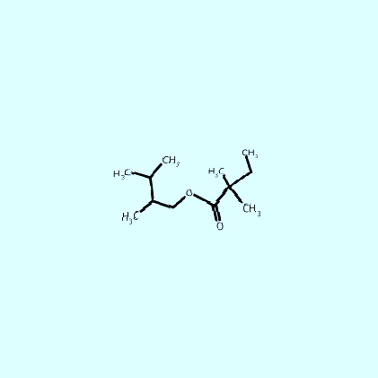 CCC(C)(C)C(=O)OCC(C)C(C)C